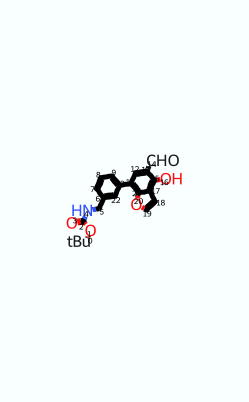 CC(C)(C)OC(=O)NCc1cccc(-c2cc(C=O)c(O)c3ccoc23)c1